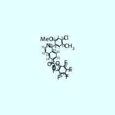 COc1cc(Cl)c(C)cc1-c1nccc2cc(S(=O)(=O)Oc3c(F)c(F)c(F)c(F)c3F)ccc12